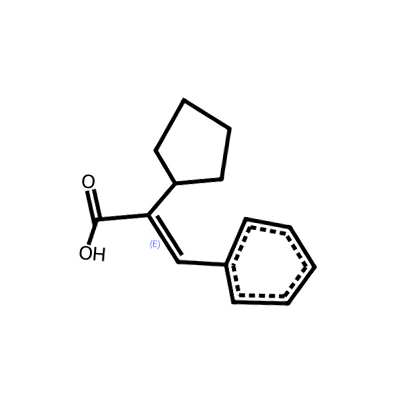 O=C(O)/C(=C/c1ccccc1)C1CCCC1